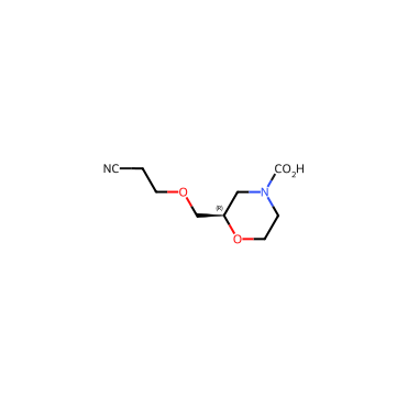 N#CCCOC[C@H]1CN(C(=O)O)CCO1